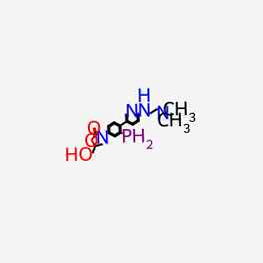 CN(C)CCNc1ccc(-c2ccc(N3CC(CO)OC3=O)cc2P)cn1